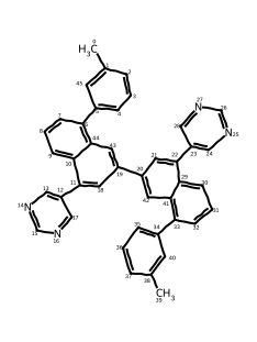 Cc1cccc(-c2cccc3c(-c4cncnc4)cc(-c4cc(-c5cncnc5)c5cccc(-c6cccc(C)c6)c5c4)cc23)c1